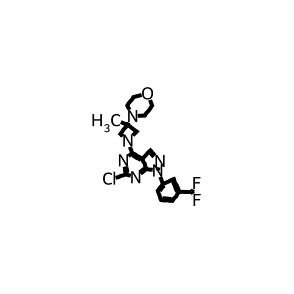 CC1(N2CCOCC2)CN(c2nc(Cl)nc3c2cnn3-c2cccc(C(F)F)c2)C1